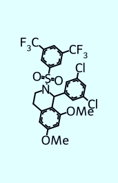 COc1cc2c(c(OC)c1)C(c1cc(Cl)cc(Cl)c1)N(S(=O)(=O)c1cc(C(F)(F)F)cc(C(F)(F)F)c1)CC2